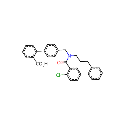 O=C(O)c1ccccc1-c1ccc(CN(CCCc2ccccc2)C(=O)c2ccccc2Cl)cc1